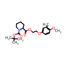 COc1ccc(OCCOC(=O)C2CCCCN2C(=O)OC(C)(C)C)cc1C